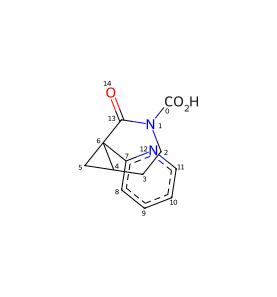 O=C(O)N1CCC2CC2(c2ccccn2)C1=O